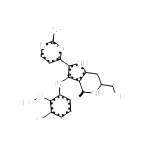 COc1c(Cl)cccc1Nc1c(-c2ccnc(N)n2)[nH]c2c1C(=O)NC(CO)C2